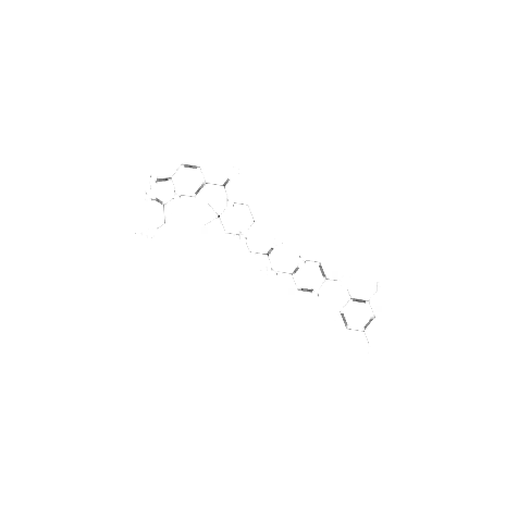 C[C@@H](C(=O)Nc1cnc(Oc2ccc(F)cc2F)cn1)N1CCN(C(=O)c2ccc3nnc(CO)n3c2)C(C)(C)C1